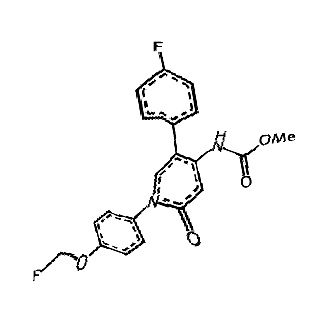 COC(=O)Nc1cc(=O)n(-c2ccc(OCF)cc2)cc1-c1ccc(F)cc1